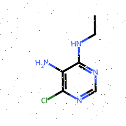 CCNc1ncnc(Cl)c1N